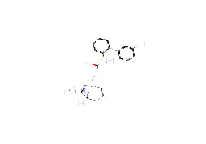 C[N+]1(C)[C@@H]2CCC[C@@]1(COC(=O)Nc1ccccc1-c1cccc(Cl)c1)CC2.[Br-]